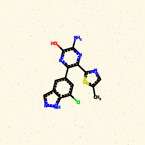 Cc1cnc(-c2nc(N)c(O)nc2-c2cc(Cl)c3[nH]ncc3c2)s1